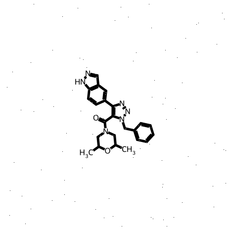 CC1CN(C(=O)c2c(-c3ccc4[nH]ncc4c3)nnn2Cc2ccccc2)CC(C)O1